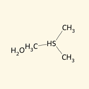 C[SH](C)C.O